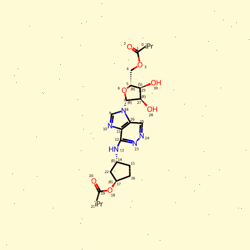 CC(C)C(=O)OC[C@H]1O[C@@H](n2cnc3c(N[C@@H]4CC[C@@H](OC(=O)C(C)C)C4)nncc32)[C@H](O)[C@@H]1O